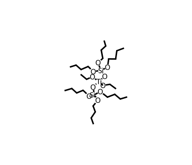 CCCCO[Si](OCCCC)(OCCCC)[O][Ti]([O]CC)([O]CC)[O][Si](OCCCC)(OCCCC)OCCCC